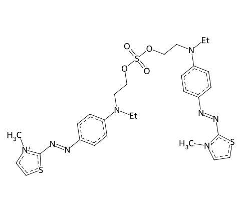 CCN(CCOS(=O)(=O)OCCN(CC)c1ccc(/N=N/c2scc[n+]2C)cc1)c1ccc(/N=N/c2scc[n+]2C)cc1